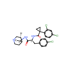 O=C(N[C@@H]1CN2CCC1CC2)[C@H](Cc1ccc(Cl)cc1)NC(=O)C1(c2ccc(Cl)cc2Cl)CC1